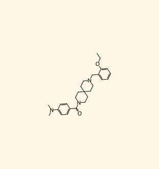 CCOc1ccccc1CN1CCC2(CC1)CCN(C(=O)c1ccc(N(C)C)cc1)CC2